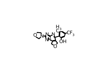 Cc1cc(C(F)(F)F)cc(O)c1-c1nc2nc(N3CCOCC3)nn2c2c1COC2